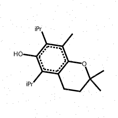 Cc1c2c(c(C(C)C)c(O)c1C(C)C)CCC(C)(C)O2